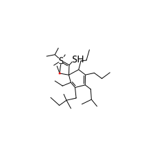 CCCC1=C(CC(C)C)C(CC(C)(C)CC)=C(CC)C(CC)(C(S)=S(C)(C)(C)C(C)C)C1CCC